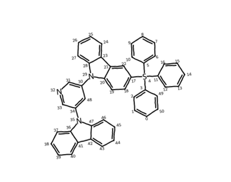 c1ccc(S(c2ccccc2)(c2ccccc2)c2ccc3c(c2)c2ccccc2n3-c2cncc(-n3c4ccccc4c4ccccc43)c2)cc1